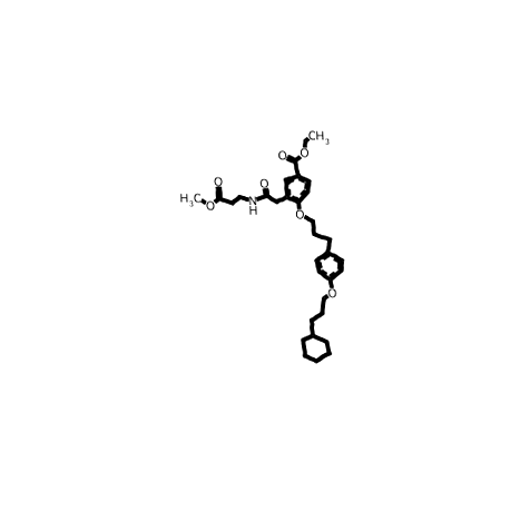 CCOC(=O)c1ccc(OCCCc2ccc(OCCCC3CCCCC3)cc2)c(CC(=O)NCCC(=O)OC)c1